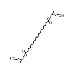 CN(CCO)CCOC(=O)CCCCCCC/C=C/CCCCCCCC(=O)OCCN(C)CCO